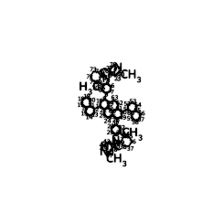 Cc1cc(N2c3ccc(-c4cc(-c5cccc6ccccc56)c5ccc6c(-c7ccc8c(c7)C7(C)CCCCC7(C)N8c7ccnc(C)c7)cc(-c7cccc8ccccc78)c7ccc4c5c67)cc3C3(C)CCCCC23C)ccn1